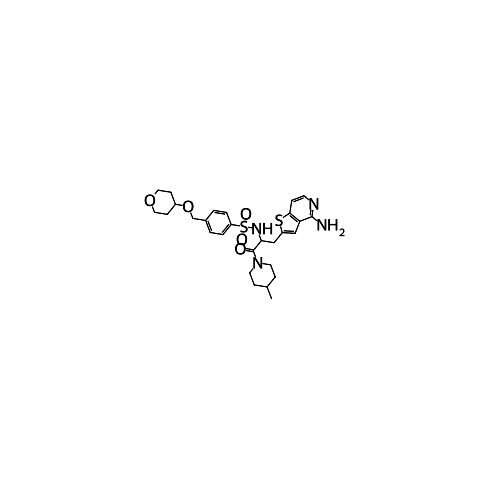 CC1CCN(C(=O)C(Cc2cc3c(N)nccc3s2)NS(=O)(=O)c2ccc(COC3CCOCC3)cc2)CC1